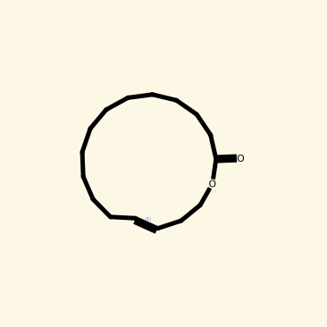 O=C1CCCCCCCCCCC/C=C/CCO1